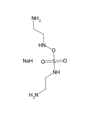 NCCNOS(=O)(=O)NCCN.[NaH]